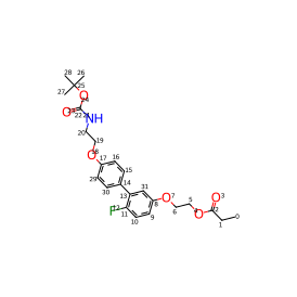 CCC(=O)OCCOc1ccc(F)c(-c2ccc(OCCNC(=O)OC(C)(C)C)cc2)c1